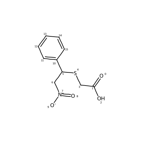 O=C(O)CSC(C[N+](=O)[O-])c1ccccc1